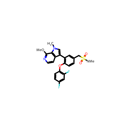 CNS(=O)(=O)Cc1ccc(Oc2ccc(F)cc2F)c(-c2cn(C)c3c(OC)nccc23)c1